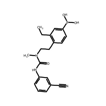 CCc1cc(B(O)O)ccc1CCN(C)C(=O)Nc1cccc(C#N)c1